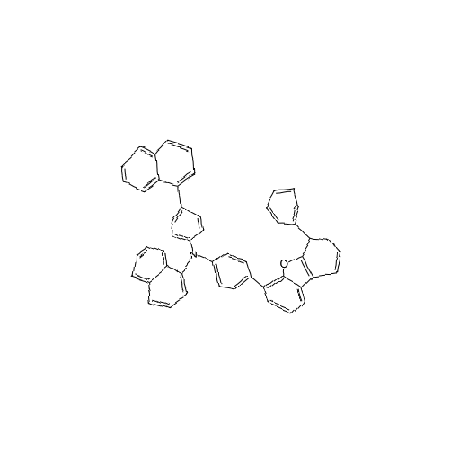 C1=Cc2c(oc3c(-c4ccc(N(c5ccc(-c6cccc7ccccc67)cc5)c5cccc6ccccc56)cc4)cccc23)C(c2ccccc2)C1